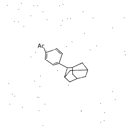 CC(=O)c1ccc(C2C3CC4CC(C3)CC2C4)cc1